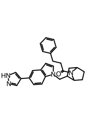 O=C(CCc1ccccc1)N1C2CCC1C(Cn1ccc3cc(-c4cn[nH]c4)ccc31)C2